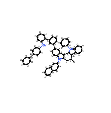 CC1Cc2c(c3cc(-c4cccc(-c5ccccc5Nc5ccc(-c6ccccc6)cc5)c4)ccc3n2-c2ccc3ccccc3c2)-c2c1c1ccccc1n2-c1ccccc1